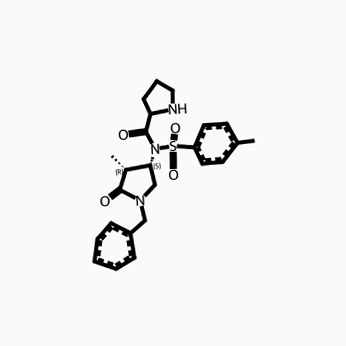 Cc1ccc(S(=O)(=O)N(C(=O)C2CCCN2)[C@@H]2CN(Cc3ccccc3)C(=O)[C@@H]2C)cc1